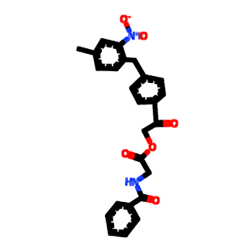 Cc1ccc(Cc2ccc(C(=O)COC(=O)CNC(=O)c3ccccc3)cc2)c([N+](=O)[O-])c1